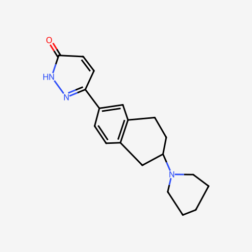 O=c1ccc(-c2ccc3c(c2)CCC(N2CCCCC2)C3)n[nH]1